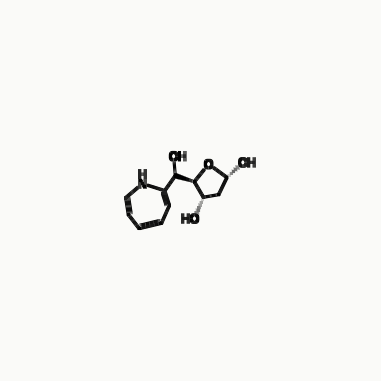 OC(C1=CC=CC=CN1)[C@H]1O[C@H](O)C[C@@H]1O